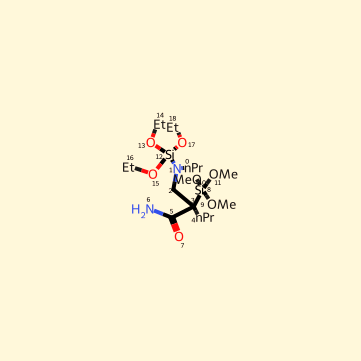 CCCN(CC(CCC)(C(N)=O)[Si](OC)(OC)OC)[Si](OCC)(OCC)OCC